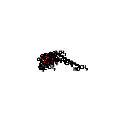 COC(CC=CC=C(C)C(=O)[C@@]([C]=O)(CC(N)=O)N(C)C(=O)[C@@H]1CCCN1C(=O)[C@H](C(C)C)N(C)C(=O)[C@H](C(C)C)N(C)C(=O)[C@H](Cc1ccccc1)N(C)C(=O)[C@@H](N)C(C)C)CCC=CCCCC(C)O